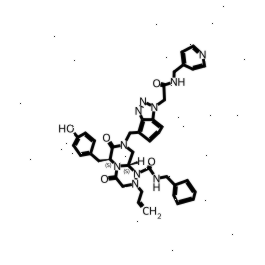 C=CCN1CC(=O)N2[C@@H](Cc3ccc(O)cc3)C(=O)N(Cc3cccc4c3nnn4CC(=O)NCc3ccncc3)C[C@@H]2N1C(=O)NCc1ccccc1